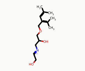 CC(C)=CC(COCC(O)C/N=C/CO)=C(C)C